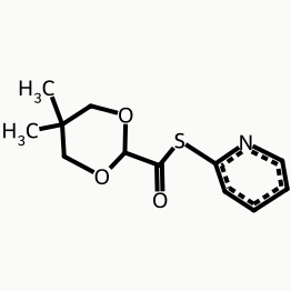 CC1(C)COC(C(=O)Sc2ccccn2)OC1